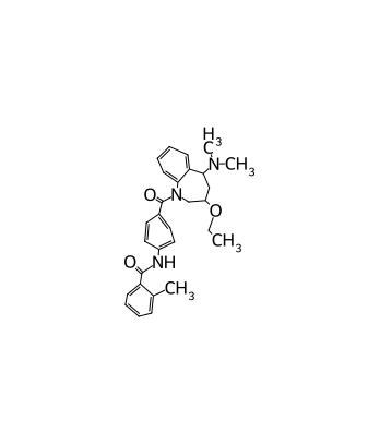 CCOC1CC(N(C)C)c2ccccc2N(C(=O)c2ccc(NC(=O)c3ccccc3C)cc2)C1